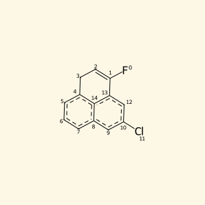 FC1=CCc2cccc3cc(Cl)cc1c23